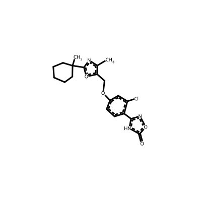 Cc1nc(C2(C)CCCCC2)oc1COc1ccc(-c2noc(=O)[nH]2)c(Cl)c1